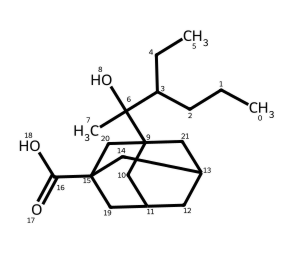 CCCC(CC)C(C)(O)C12CC3CC(CC(C(=O)O)(C3)C1)C2